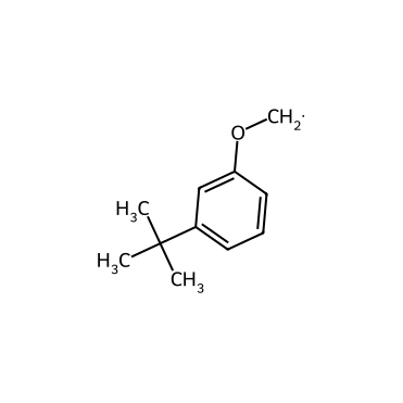 [CH2]Oc1cccc(C(C)(C)C)c1